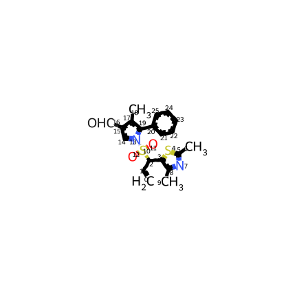 C=CC(c1sc(C)nc1C)S(=O)(=O)n1cc(C=O)c(C)c1-c1ccccc1